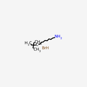 Br.CCC(CC)(CC)CCCCCCCCCCCN